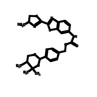 CC1COB(c2ccc(COC(=O)Nc3ccc4nc(C5=NC(C(=O)O)CS5)sc4c3)cc2)OC1(C)C